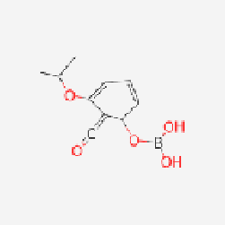 CC(C)OC1=CC=CC(OB(O)O)C1=C=O